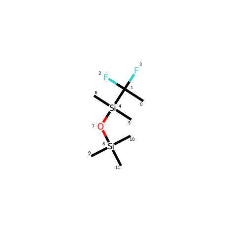 CC(F)(F)[Si](C)(C)O[Si](C)(C)C